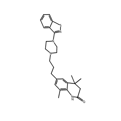 Cc1cc(CCCN2CCN(c3nsc4ccccc34)CC2)cc2c1NC(=O)CC2(C)C